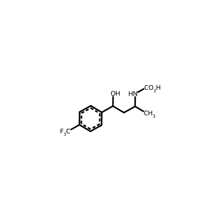 CC(CC(O)c1ccc(C(F)(F)F)cc1)NC(=O)O